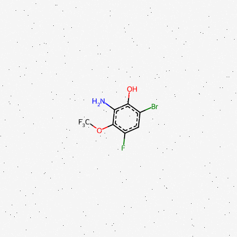 Nc1c(O)c(Br)cc(F)c1OC(F)(F)F